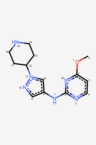 COc1ccnc(Nc2cnn(C3CCNCC3)c2)n1